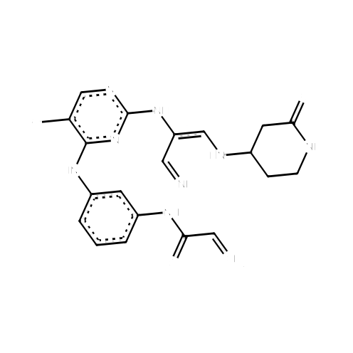 C=CC(=O)Nc1cccc(Nc2nc(N/C(C=N)=C/NC3CCNC(=O)C3)ncc2Cl)c1